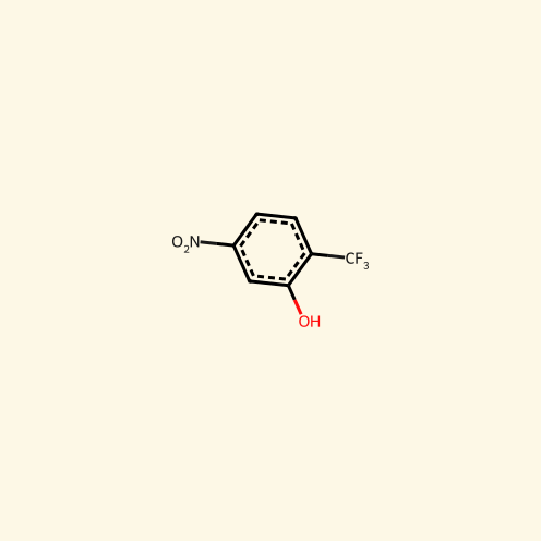 O=[N+]([O-])c1ccc(C(F)(F)F)c(O)c1